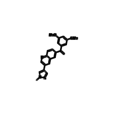 C=C(c1cc(OC)cc(OC)c1)c1ccc2ncc(-c3cnn(C)c3)cc2c1